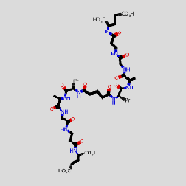 CC(NC(=O)C(NC(=O)CCCC(=O)NC(C(=O)NC(C)C(=O)NCC(=O)NCCC(=O)NC(CCC(=O)O)C(=O)O)C(C)C)C(C)C)C(=O)NCC(=O)NCCC(=O)NC(CCC(=O)O)C(=O)O